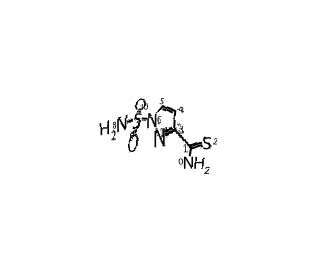 NC(=S)c1ccn(S(N)(=O)=O)n1